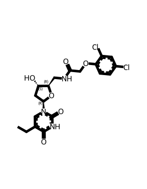 CCc1cn([C@H]2C[C@H](O)[C@@H](CNC(=O)COc3ccc(Cl)cc3Cl)O2)c(=O)[nH]c1=O